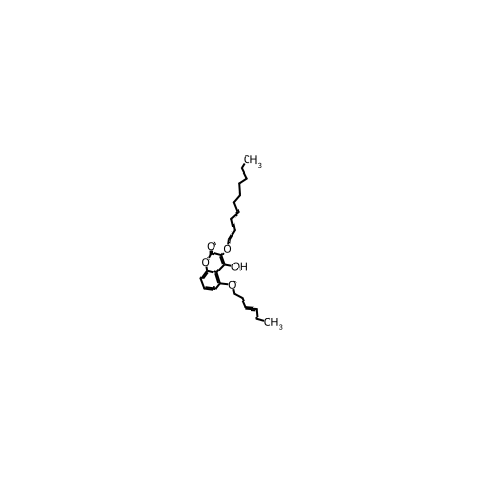 CCC=CCCOc1cccc2oc(=O)c(OCCCCCCCCCC)c(O)c12